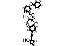 CN1C(=O)C(NC(=O)c2cc(Oc3ccccc3)ccn2)COc2cc(C#CC3(O)COC3)ccc21